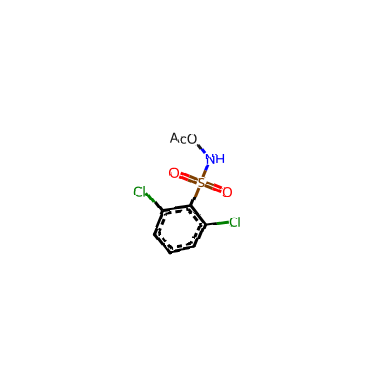 CC(=O)ONS(=O)(=O)c1c(Cl)cccc1Cl